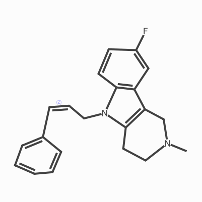 CN1CCc2c(c3cc(F)ccc3n2C/C=C\c2ccccc2)C1